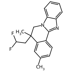 Cc1ccc2c(c1)C(C)(CC(F)F)Cn1c-2nc2ccccc21